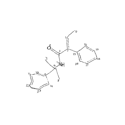 C/C=C(/C(=O)NC(C)(C)c1ccccc1)c1ccccc1